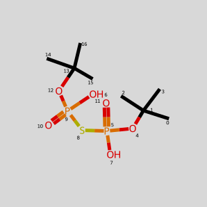 CC(C)(C)OP(=O)(O)SP(=O)(O)OC(C)(C)C